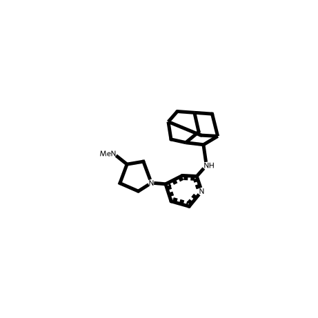 CNC1CCN(c2ccnc(NC3C4CC5CC(C4)CC3C5)c2)C1